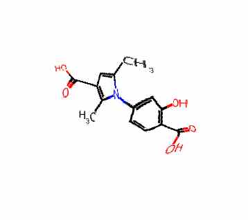 Cc1cc(C(=O)O)c(C)n1-c1ccc(C(=O)O)c(O)c1